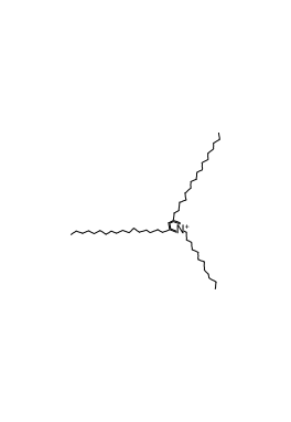 CCCCCCCCCCCCCCCCCc1cc(CCCCCCCCCCCCCCCCC)c[n+](CCCCCCCCCCCC)c1